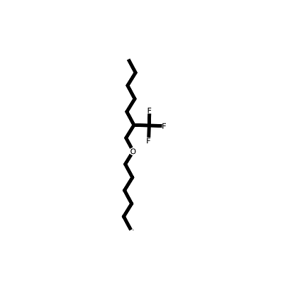 [CH2]CCCCCOCC(CCCCC)C(F)(F)F